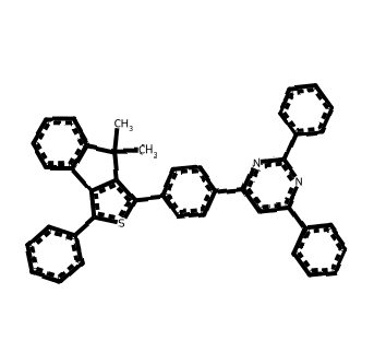 CC1(C)c2ccccc2-c2c(-c3ccccc3)sc(-c3ccc(-c4cc(-c5ccccc5)nc(-c5ccccc5)n4)cc3)c21